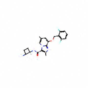 Cc1cc(OCc2c(F)cccc2F)c2nc(C)c(C(=O)N[C@@]3(C)CC[C@]3(C)N)n2c1